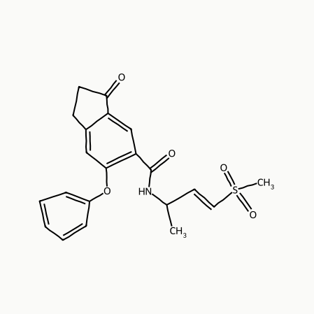 CC(C=CS(C)(=O)=O)NC(=O)c1cc2c(cc1Oc1ccccc1)CCC2=O